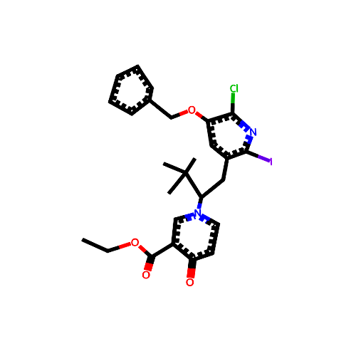 CCOC(=O)c1cn(C(Cc2cc(OCc3ccccc3)c(Cl)nc2I)C(C)(C)C)ccc1=O